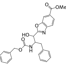 COC(=O)c1ccc2nc(C(O)C(Cc3ccccc3)NC(=O)OCc3ccccc3)oc2c1